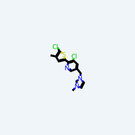 Cc1cc(-c2ncc(CN3C=CN(C)C3)cc2Cl)sc1Cl